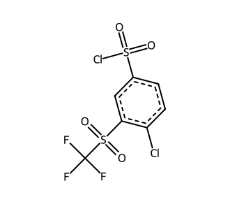 O=S(=O)(Cl)c1ccc(Cl)c(S(=O)(=O)C(F)(F)F)c1